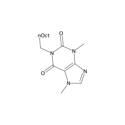 CCCCCCCCCn1c(=O)c2c(ncn2C)n(C)c1=O